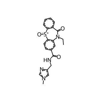 CCN1C(=O)c2ccccc2[S+]([O-])c2ccc(C(=O)NCc3cn(C)cn3)cc21